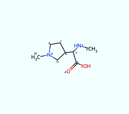 CNC(C(=O)O)C1CCN(C)C1